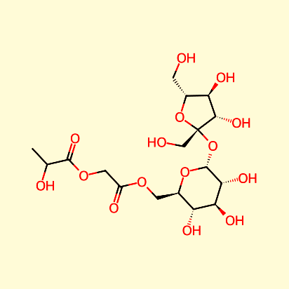 CC(O)C(=O)OCC(=O)OC[C@H]1O[C@H](O[C@]2(CO)O[C@H](CO)[C@@H](O)[C@@H]2O)[C@H](O)[C@@H](O)[C@@H]1O